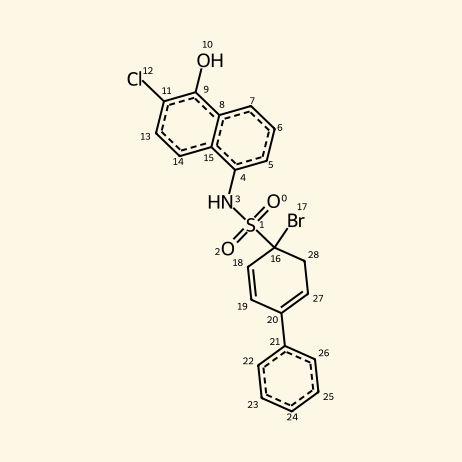 O=S(=O)(Nc1cccc2c(O)c(Cl)ccc12)C1(Br)C=CC(c2ccccc2)=CC1